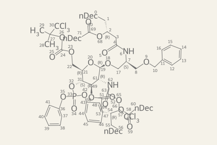 CCCCCCCCCCC[C@H](CC(=O)N[C@@H](COCc1ccccc1)CO[C@@H]1O[C@H](COC(=O)OC(C)(C)C(Cl)(Cl)Cl)[C@@H](OP(=O)(Oc2ccccc2)Oc2ccccc2)[C@H](OC(=O)C[C@@H](CCCCCCCCCCC)OC(=O)CCCCCCCCCC)[C@H]1NC(=O)OCC(Cl)(Cl)Cl)OC(=O)CCCCCCCCCC